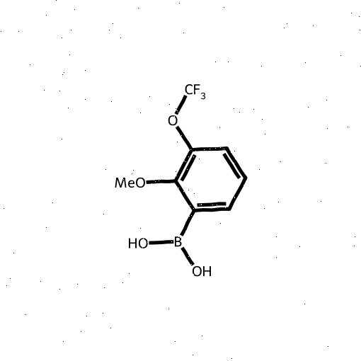 COc1c(OC(F)(F)F)cccc1B(O)O